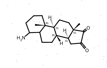 C[C@]12CCCC(N)C1CC[C@@H]1[C@@H]2CC[C@]2(C)C(=O)C(=O)C[C@@H]12